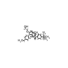 C=Cc1ccc(-c2c(OCCO)nn(C)c2NS(=O)(=O)c2ccc(C(C)(C)C)cc2)cc1